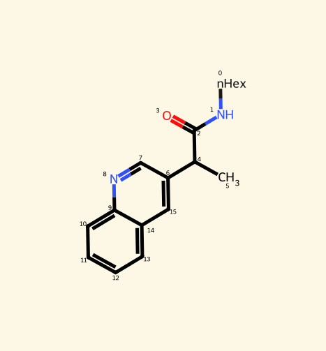 CCCCCCNC(=O)C(C)c1cnc2ccccc2c1